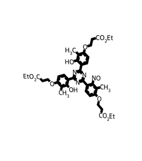 CCOC(=O)CCOc1ccc(-c2nc(-c3ccc(OCCC(=O)OCC)c(C)c3O)nc(-c3ccc(OCCC(=O)OCC)c(C)c3N=O)n2)c(O)c1C